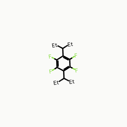 CCC(CC)c1c(F)c(F)c(C(CC)CC)c(F)c1F